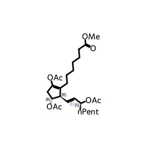 CCCCC[C@@H](/C=C/[C@@H]1C(CCCCCCC(=O)OC)=C(OC(C)=O)C[C@H]1OC(C)=O)OC(C)=O